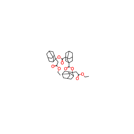 CCOC(=O)CC1(OC(=O)C23CC4CC(C2)CC(C(=O)OC2(CC(=O)OCC)C5CC6CC(C5)CC2C6)(C4)C3)C2CC3CC(C2)CC1C3